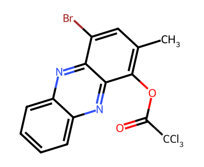 Cc1cc(Br)c2nc3ccccc3nc2c1OC(=O)C(Cl)(Cl)Cl